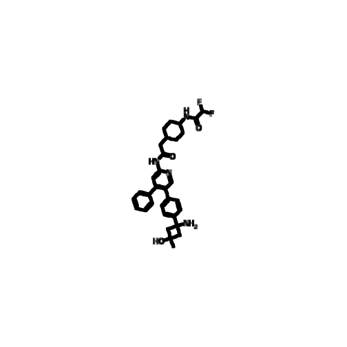 CC1(O)CC(N)(c2ccc(-c3cnc(NC(=O)CC4CCC(NC(=O)C(F)F)CC4)cc3-c3ccccc3)cc2)C1